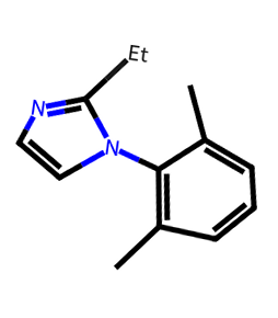 CCc1nccn1-c1c(C)cccc1C